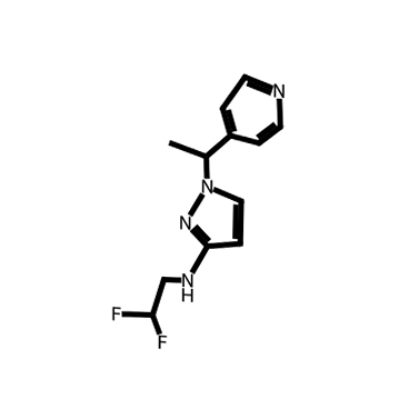 CC(c1ccncc1)n1ccc(NCC(F)F)n1